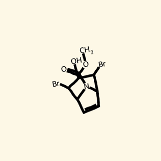 COC(=O)N1C2C=CC1C(Br)C(O)C2Br